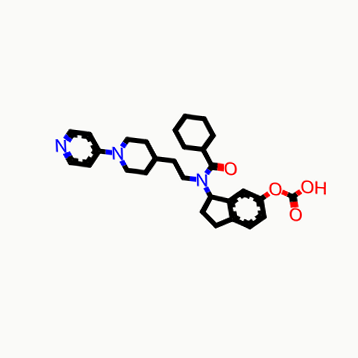 O=C(O)Oc1ccc2c(c1)C(N(CCC1CCN(c3ccncc3)CC1)C(=O)C1CCCCC1)CC2